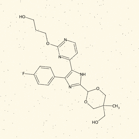 CC1(CO)COC(c2nc(-c3ccc(F)cc3)c(-c3ccnc(OCCCO)n3)[nH]2)OC1